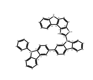 c1ccc(-n2c3ccccc3c3cc(-c4ccc5c6ccccc6n(-c6nc7c(ccc8sc9ccccc9c87)s6)c5c4)ccc32)cc1